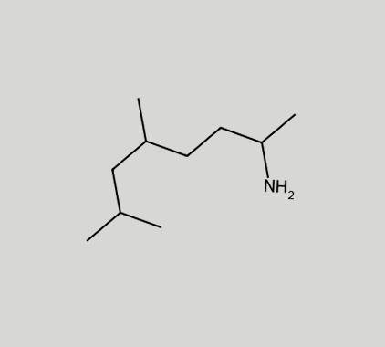 CC(C)CC(C)CCC(C)N